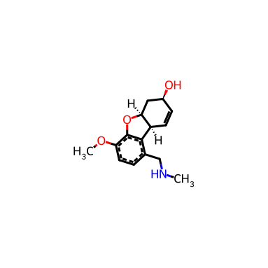 CNCc1ccc(OC)c2c1[C@@H]1C=C[C@H](O)C[C@@H]1O2